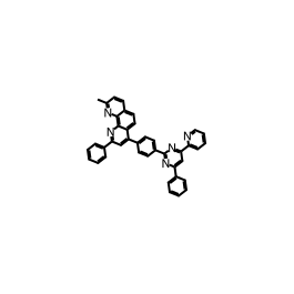 Cc1ccc2ccc3c(-c4ccc(-c5nc(-c6ccccc6)cc(-c6ccccn6)n5)cc4)cc(-c4ccccc4)nc3c2n1